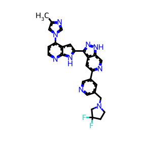 Cc1cn(-c2ccnc3[nH]c(-c4n[nH]c5cnc(-c6cncc(CN7CCC(F)(F)C7)c6)cc45)cc23)cn1